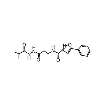 CC(C)C(=O)NNC(=O)CCNC(=O)c1cc(-c2ccccc2)on1